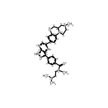 CN(C)CCN(C)C(=O)c1ccc(-c2n[nH]c3ncc(-c4ccc5c(c4)OCC4CN(C)CCN54)nc23)cc1